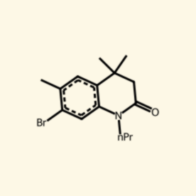 CCCN1C(=O)CC(C)(C)c2cc(C)c(Br)cc21